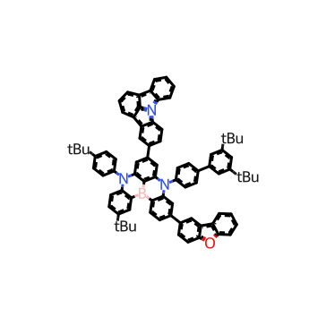 CC(C)(C)c1ccc(N2c3ccc(C(C)(C)C)cc3B3c4ccc(-c5ccc6oc7ccccc7c6c5)cc4N(c4ccc(-c5cc(C(C)(C)C)cc(C(C)(C)C)c5)cc4)c4cc(-c5ccc6c(c5)c5cccc7c8ccccc8n6c75)cc2c43)cc1